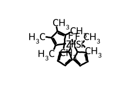 CC1=C(C)[C](C)([Zr]([F])([F])([CH]2C=CC=C2)([CH]2C=CC=C2)[SiH](C)C)C(C)=C1C